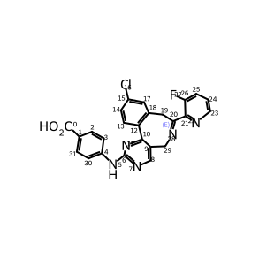 O=C(O)c1ccc(Nc2ncc3c(n2)-c2ccc(Cl)cc2C/C(c2ncccc2F)=N\C3)cc1